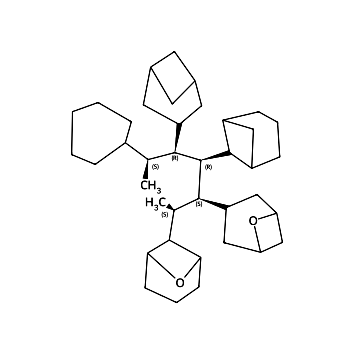 C[C@H](C1C2CCCC1O2)[C@H](C1CC2CC(C1)O2)[C@H](C1C2CCCC1C2)[C@H](C1CC2CC(C2)C1)[C@@H](C)C1CCCCC1